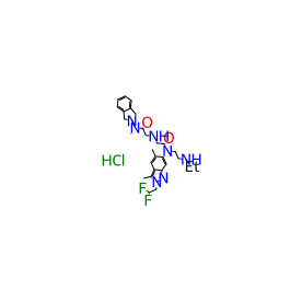 CCNCCN(C(=O)CNCC(=O)N(C)N1Cc2ccccc2C1)c1cc2nn(CC(F)F)c(C)c2cc1C.Cl